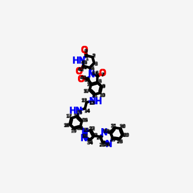 O=C1CCC(N2C(=O)c3ccc(NCCNc4cccc(-n5cc(-c6cnc7ccccc7n6)cn5)c4)cc3C2=O)C(=O)N1